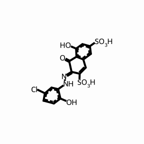 O=C1C(=NNc2cc(Cl)ccc2O)C(S(=O)(=O)O)=Cc2cc(S(=O)(=O)O)cc(O)c21